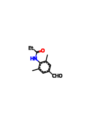 CCC(=O)Nc1c(C)cc(C=O)cc1C